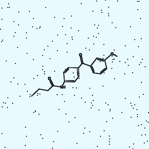 CCCC(=O)Nc1ccc(C(=O)c2cccc(OC)c2)cc1